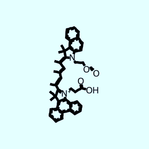 CC(/C=C(C)/C=C(\C)C1=[N+](CCC(=O)O)c2c(c3ccccc3c3ccccc23)C1(C)C)=C1/N(CCOC=O)c2ccc3ccccc3c2C1(C)C